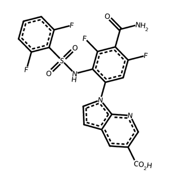 NC(=O)c1c(F)cc(-n2ccc3cc(C(=O)O)cnc32)c(NS(=O)(=O)c2c(F)cccc2F)c1F